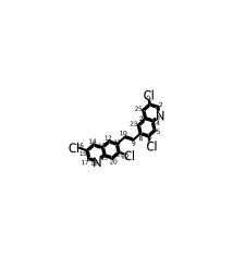 Clc1cnc2cc(Cl)c(C=Cc3cc4cc(Cl)cnc4cc3Cl)cc2c1